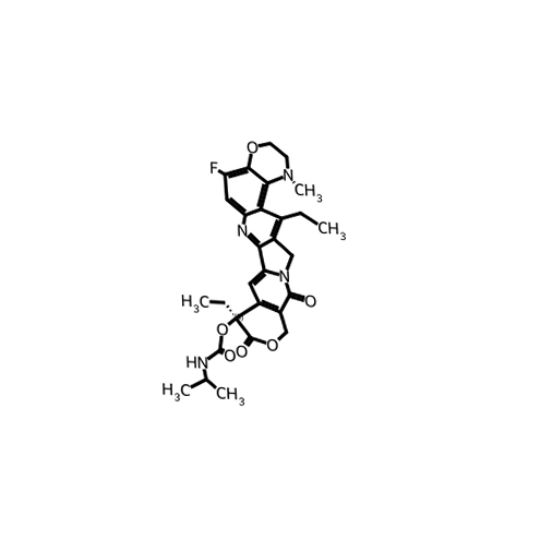 CCc1c2c(nc3cc(F)c4c(c13)N(C)CCO4)-c1cc3c(c(=O)n1C2)COC(=O)[C@@]3(CC)OC(=O)NC(C)C